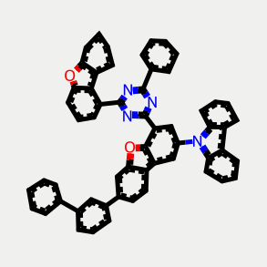 c1ccc(-c2cccc(-c3ccc4c(c3)oc3c(-c5nc(-c6ccccc6)nc(-c6cccc7oc8ccccc8c67)n5)cc(-n5c6ccccc6c6ccccc65)cc34)c2)cc1